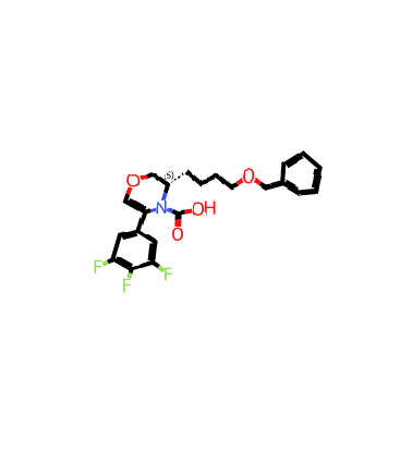 O=C(O)N1C(c2cc(F)c(F)c(F)c2)=COC[C@@H]1CCCCOCc1ccccc1